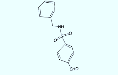 O=Cc1ccc(S(=O)(=O)NCc2ccccc2)cc1